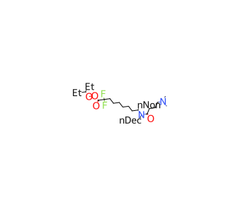 CCCCCCCCCCN(C(=O)CCCN(C)C)C(CCCCCCCCC)CCCCCCC(F)(F)C(=O)OOC(CC)CC